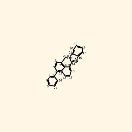 c1ccc(-c2ccc3c4c(cccc24)-c2nc4ccccc4n2C3)cc1